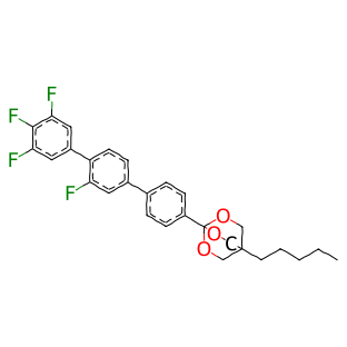 CCCCCC12COC(c3ccc(-c4ccc(-c5cc(F)c(F)c(F)c5)c(F)c4)cc3)(OC1)OC2